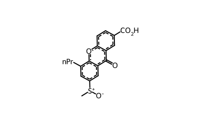 CCCc1cc([S+](C)[O-])cc2c(=O)c3cc(C(=O)O)ccc3oc12